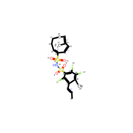 C/C=C/c1c(F)c(S(=O)(=O)NS(=O)(=O)C2=C/CCC/C=C(C(F)(F)F)/C=C\2)c(F)c(F)c1C#N